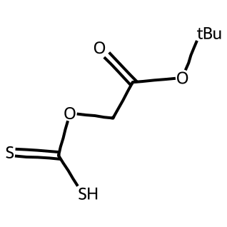 CC(C)(C)OC(=O)COC(=S)S